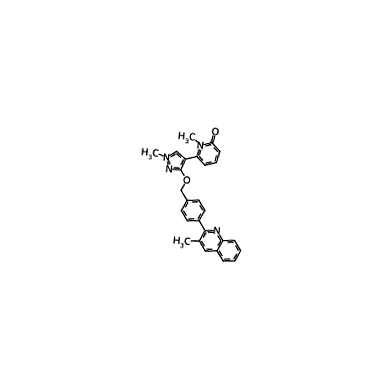 Cc1cc2ccccc2nc1-c1ccc(COc2nn(C)cc2-c2cccc(=O)n2C)cc1